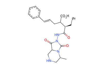 CC(C)C[C@@H](C(=O)NN1C(=O)C2CNCC(C)N2C1=O)C(C/C=C/c1ccccc1)C(=O)O